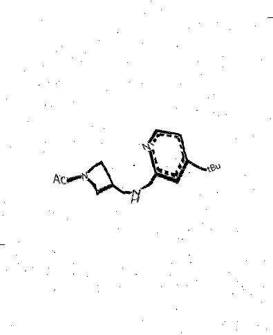 CC(=O)N1CC(Nc2cc(C(C)(C)C)ccn2)C1